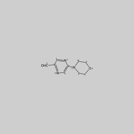 O=Cc1cnc(N2CCOCC2)cn1